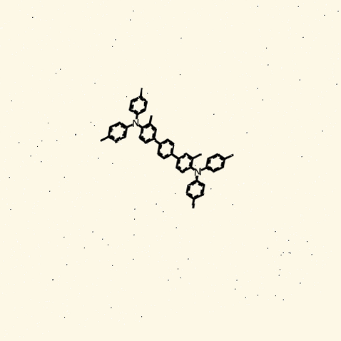 Cc1ccc(N(c2ccc(C)cc2)c2ccc(-c3ccc(-c4ccc(N(c5ccc(C)cc5)c5ccc(C)cc5)c(C)c4)cc3)cc2C)cc1